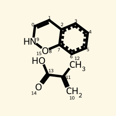 C1=Cc2ccccc2ON1.C=C(C)C(=O)O